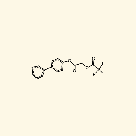 CC(F)(F)C(=O)OCC(=O)Oc1ccc(-c2ccccc2)cc1